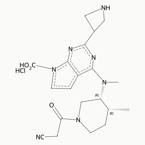 C[C@@H]1CCN(C(=O)CC#N)C[C@@H]1N(C)c1nc(C2CNC2)nc2c1ccn2C(=O)O.Cl